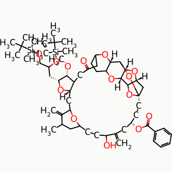 C=C1C[C@@H](OC(=O)c2ccccc2)CC[C@@]23C[C@H]4O[C@H]5C(O2)[C@H]2OC(CCC2O[C@H]5C4O3)CC(=O)CC2[C@H](CC3OC(CCC1O)CC(C)C3=C)O[C@H](CC(CO[Si](C)(C)C(C)(C)C)O[Si](C)(C)C(C)(C)C)[C@@H]2OC